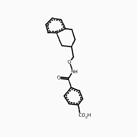 O=C(O)c1ccc(C(=O)NOCC2CCc3ccccc3C2)cc1